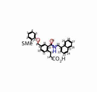 CSc1ccccc1OCc1ccc(CCC(=O)O)c(C(=O)NCc2cccc3ccccc23)c1